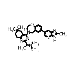 Cc1nc2cc(-c3ccc4c(c3)CN(c3nc(C(C)N(C)C)nc5c3CC(C)(C)CC5)CCO4)cnc2[nH]1